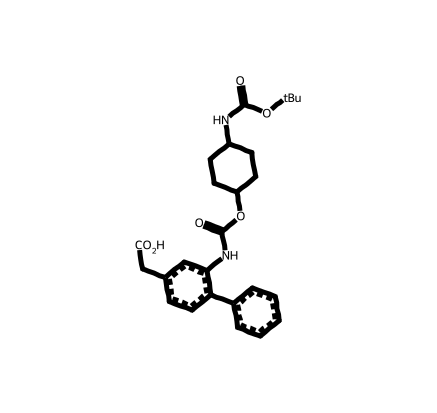 CC(C)(C)OC(=O)NC1CCC(OC(=O)Nc2cc(CC(=O)O)ccc2-c2ccccc2)CC1